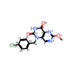 COc1ncc2c(n1)c(=O)[nH]c(=O)n2Cc1ccc(Cl)cc1